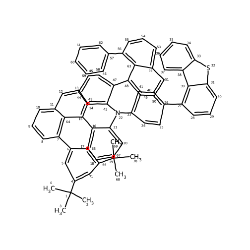 CC(C)(C)c1cc(-c2cccc3cccc(-c4ccccc4N(c4ccc(-c5cccc6sc7ccccc7c56)cc4)c4ccccc4-c4cccc5cccc(-c6ccccc6)c45)c23)cc(C(C)(C)C)c1